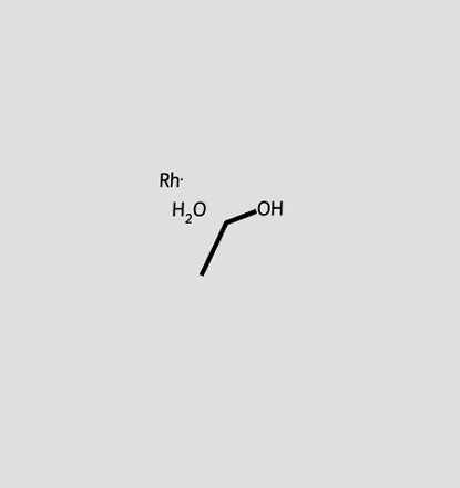 CCO.O.[Rh]